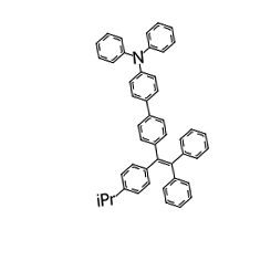 CC(C)c1ccc(C(=C(c2ccccc2)c2ccccc2)c2ccc(-c3ccc(N(c4ccccc4)c4ccccc4)cc3)cc2)cc1